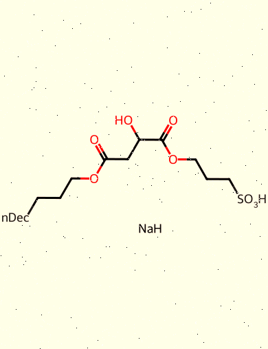 CCCCCCCCCCCCCOC(=O)CC(O)C(=O)OCCCS(=O)(=O)O.[NaH]